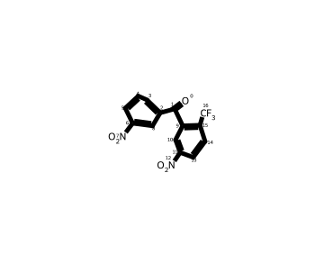 O=C(c1cccc([N+](=O)[O-])c1)c1cc([N+](=O)[O-])ccc1C(F)(F)F